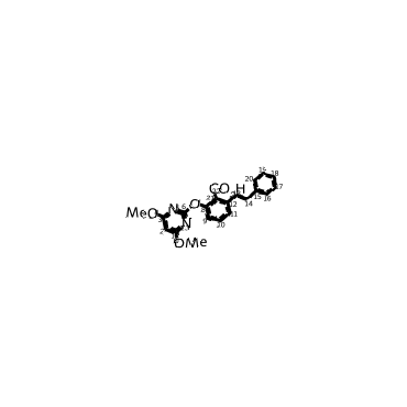 COc1cc(OC)nc(Oc2cccc(C=Cc3ccccc3)c2C(=O)O)n1